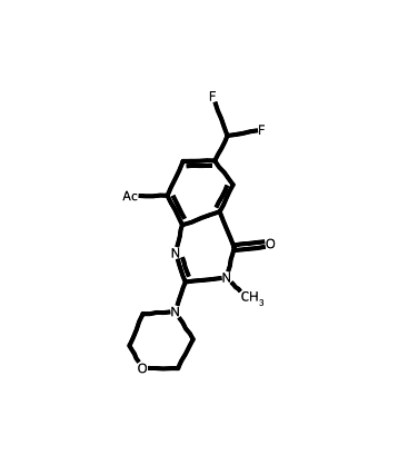 CC(=O)c1cc(C(F)F)cc2c(=O)n(C)c(N3CCOCC3)nc12